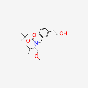 COCC(C(C)C)N(Cc1cccc(CCO)c1)C(=O)OC(C)(C)C